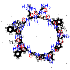 CCCC[C@H]1C(=O)N[C@@H](CCCNN)C(=O)N[C@H](C(=O)NCC(N)=O)SCC(=O)N[C@@H](Cc2ccccc2)C(=O)N(C)[C@@H](C)C(=O)N[C@@H](CC(N)=O)C(=O)N2CCC[C@H]2C(=O)N[C@@H](Cc2cnc[nH]2)C(=O)N[C@@H](CC(C)C)C(=O)N(C)CC(=O)N[C@@H](Cc2c[nH]c3ccccc23)C(=O)N[C@@H]([C@@H](C)O)C(=O)N[C@@H](Cc2c[nH]c3ccccc23)C(=O)N(C)N1C